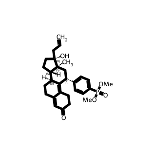 C=CC[C@]1(O)CC[C@H]2[C@@H]3CCC4=CC(=O)CCC4=C3[C@@H](c3ccc(P(=O)(OC)OC)cc3)C[C@@]21C